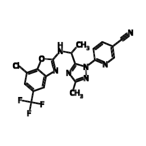 Cc1nc(C(C)Nc2nc3cc(C(F)(F)F)cc(Cl)c3o2)n(-c2ccc(C#N)cn2)n1